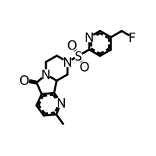 Cc1ccc2c(n1)C1CN(S(=O)(=O)c3ccc(CF)cn3)CCN1C2=O